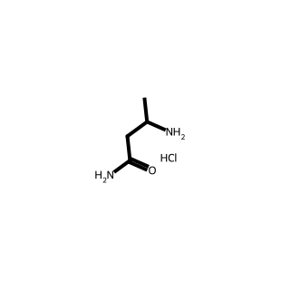 CC(N)CC(N)=O.Cl